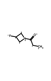 CCC(=O)N1CC(F)C1